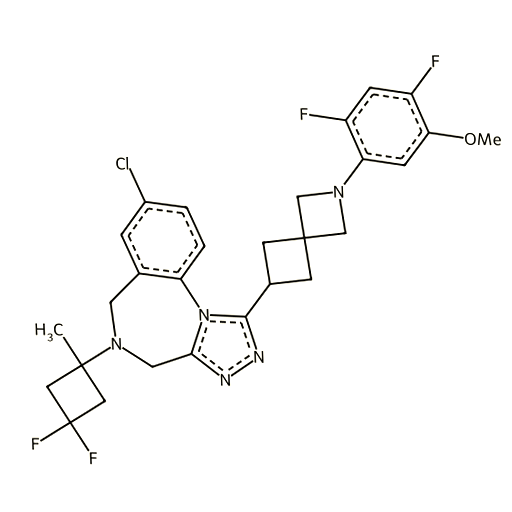 COc1cc(N2CC3(CC(c4nnc5n4-c4ccc(Cl)cc4CN(C4(C)CC(F)(F)C4)C5)C3)C2)c(F)cc1F